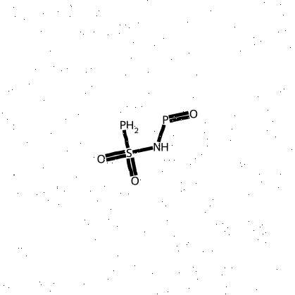 O=PNS(=O)(=O)P